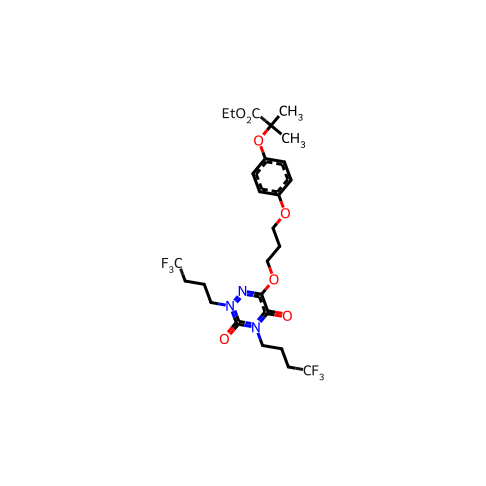 CCOC(=O)C(C)(C)Oc1ccc(OCCCOc2nn(CCCC(F)(F)F)c(=O)n(CCCC(F)(F)F)c2=O)cc1